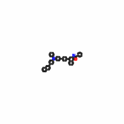 c1ccc(-c2nc3cc(-c4ccc(-c5ccc(N(c6ccccc6)c6ccc(-c7ccc8ccccc8c7)cc6)cc5)cc4)c4ccccc4c3o2)cc1